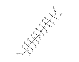 OC(=S)C(F)(F)C(F)(F)C(F)(F)C(F)(F)C(F)(F)C(F)(F)C(F)(F)C(F)(F)C(F)(F)C(F)(F)CF